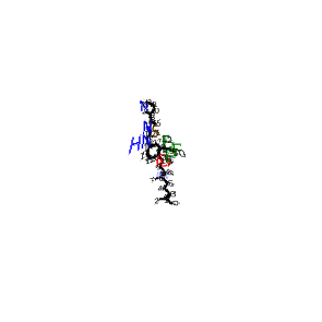 CC(C)=CCC/C(C)=C/COc1ccc(Nc2nc(-c3cccnc3)cs2)cc1C(F)(F)F